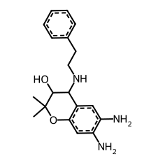 CC1(C)Oc2cc(N)c(N)cc2C(NCCc2ccccc2)C1O